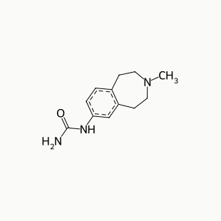 CN1CCc2ccc(NC(N)=O)cc2CC1